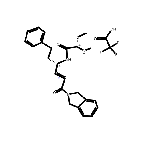 CC[C@H](NC)C(=O)N[C@H](/C=C/C(=O)N1Cc2ccccc2C1)CCc1ccccc1.O=C(O)C(F)(F)F